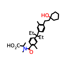 CCC(CC)(c1ccc(CCC2(O)CCCCC2)c(C)c1)c1ccc(C(=O)N(C)C(C)C(=O)O)c(C)c1